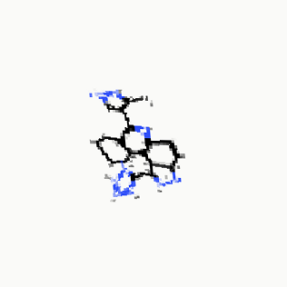 FC(F)(F)c1n[nH]cc1-c1nc2c(c3c1CCCC3)C1C(c3nnn[nH]3)=NNC1C=C2